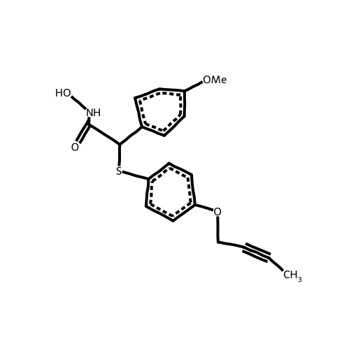 CC#CCOc1ccc(SC(C(=O)NO)c2ccc(OC)cc2)cc1